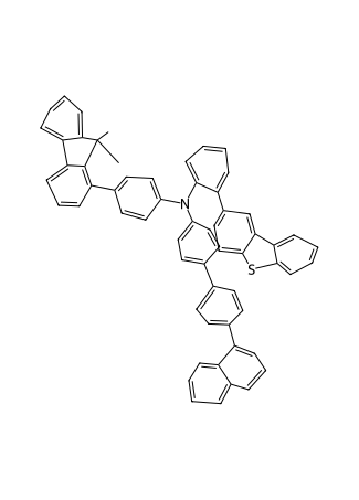 CC1(C)c2ccccc2-c2cccc(-c3ccc(N(c4ccc(-c5ccc(-c6cccc7ccccc67)cc5)cc4)c4ccccc4-c4ccc5sc6ccccc6c5c4)cc3)c21